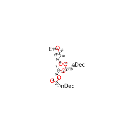 CCCCCCCCCCCC(=O)OCC(COCCC(C)(C)OCC)OC(=O)CCCCCCCCCCC